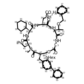 CCCCCC[C@H]1OC(=O)CNC(=O)[C@H](C(C)OCc2ccccc2)NC(=O)[C@H](CNC(=O)O)NC(=O)[C@H](C2CCCCC2)NC(=O)[C@H](CC(C)C)N(C)C(=O)[C@@H]1Cc1ccc(-c2ccccc2)cc1